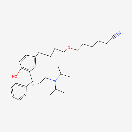 CC(C)N(CC[C@H](c1ccccc1)c1cc(CCCCOCCCCCC#N)ccc1O)C(C)C